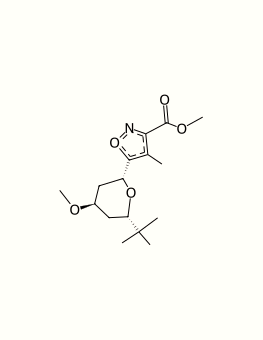 COC(=O)c1noc([C@H]2C[C@H](OC)C[C@@H](C(C)(C)C)O2)c1C